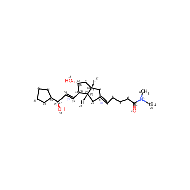 CN(C(=O)CCC/C=C1\C[C@H]2C[C@@H](O)[C@H](/C=C/[C@@H](O)C3CCCC3)[C@H]2C1)C(C)(C)C